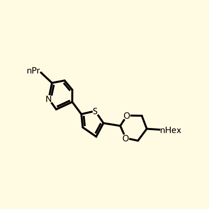 CCCCCCC1COC(c2ccc(-c3ccc(CCC)nc3)s2)OC1